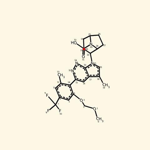 COCOc1cc(C(F)(F)F)cc(C)c1-c1cc2c(C)cn(C3CCC4CCC3N4C(=O)O)c2nn1